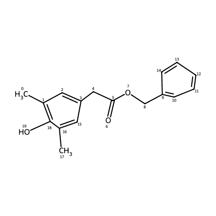 Cc1cc(CC(=O)OCc2ccccc2)cc(C)c1O